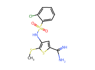 CSc1sc(C(=N)N)cc1NS(=O)(=O)c1ccccc1Cl